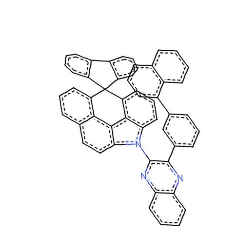 c1cc(-c2nc3ccccc3nc2-n2c3cccc4c3c3c5c(cccc5ccc32)C42c3ccccc3-c3ccccc32)cc(-c2cccc3ccccc23)c1